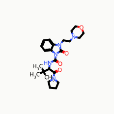 CC(C)(C)C(NC(=O)n1c(=O)n(CCN2CCOCC2)c2ccccc21)C(=O)N1CCCC1